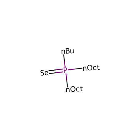 CCCCCCCCP(=[Se])(CCCC)CCCCCCCC